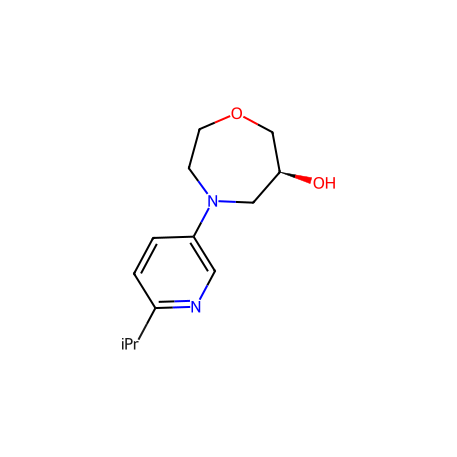 CC(C)c1ccc(N2CCOC[C@@H](O)C2)cn1